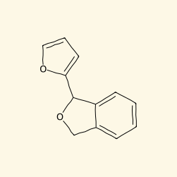 c1coc(C2OCc3ccccc32)c1